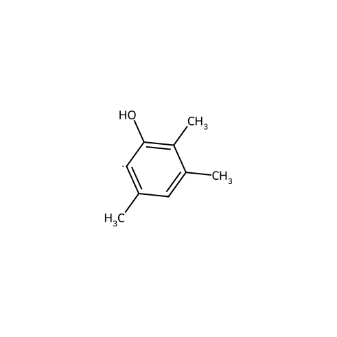 Cc1[c]c(O)c(C)c(C)c1